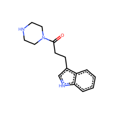 O=C(CCc1c[nH]c2ccccc12)N1CCNCC1